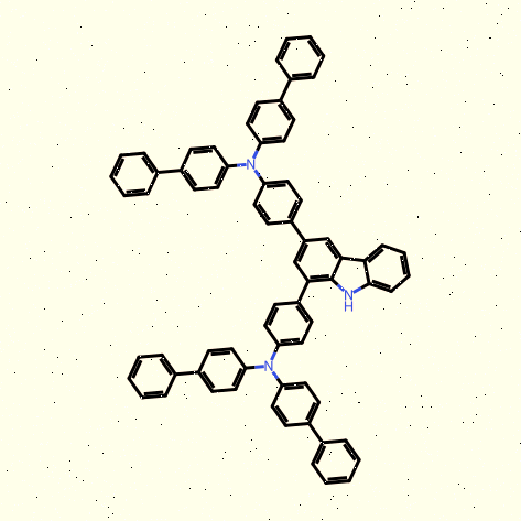 c1ccc(-c2ccc(N(c3ccc(-c4ccccc4)cc3)c3ccc(-c4cc(-c5ccc(N(c6ccc(-c7ccccc7)cc6)c6ccc(-c7ccccc7)cc6)cc5)c5[nH]c6ccccc6c5c4)cc3)cc2)cc1